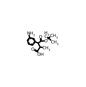 CC(C(=O)O)C(C(=O)OC(C)(C)C)c1cccc(N)c1